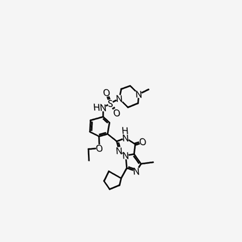 CCOc1ccc(NS(=O)(=O)N2CCN(C)CC2)cc1-c1nn2c(C3CCCC3)nc(C)c2c(=O)[nH]1